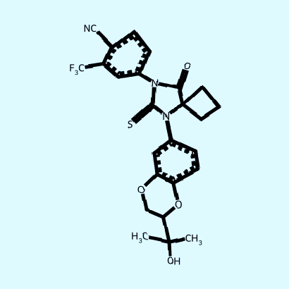 CC(C)(O)C1COc2cc(N3C(=S)N(c4ccc(C#N)c(C(F)(F)F)c4)C(=O)C34CCC4)ccc2O1